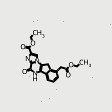 CCOC(=O)Cc1cccc2c1Cc1c-2[nH]c(=O)c2nc(C(=O)OCC)cn12